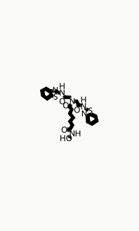 O=C(CCCCCC(=O)N(CC(=O)Nc1nc2ccccc2s1)CC(=O)Nc1nc2ccccc2s1)NO